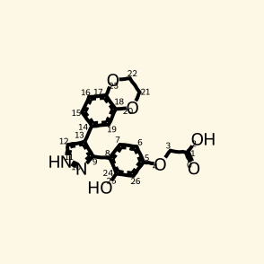 O=C(O)COc1ccc(-c2n[nH]cc2-c2ccc3c(c2)OCCO3)c(O)c1